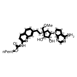 CCCCCOC(=O)Nc1ccc2ccc(CC[C@@]3(COC)C[C@@H](n4ccc5c(N)ncnc54)[C@H](O)[C@@H]3O)cc2n1